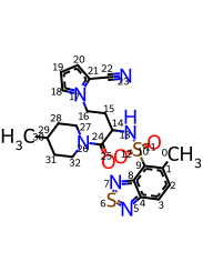 Cc1ccc2nsnc2c1S(=O)(=O)NC(CCn1cccc1C#N)C(=O)N1CCC(C)CC1